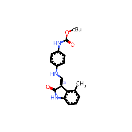 Cc1cccc2c1/C(=C/Nc1ccc(NC(=O)OC(C)(C)C)cc1)C(=O)N2